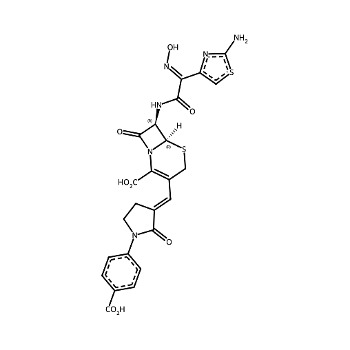 Nc1nc(C(=NO)C(=O)N[C@@H]2C(=O)N3C(C(=O)O)=C(C=C4CCN(c5ccc(C(=O)O)cc5)C4=O)CS[C@H]23)cs1